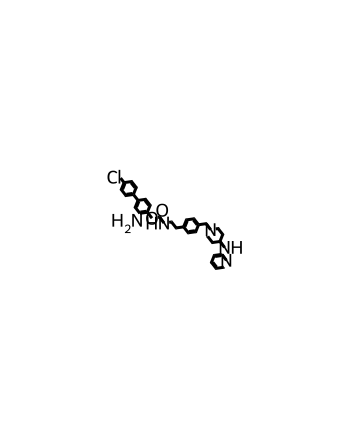 Nc1cc(-c2ccc(Cl)cc2)ccc1OC(=O)NCCc1ccc(CN2CCC(Nc3ccccn3)CC2)cc1